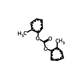 Cc1ccccc1OC(=O)Oc1ccccc1C